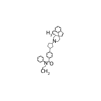 C=CCN(C(=O)c1ccc(C2CCC(N3CCC4(C=Cc5ccccc54)[C@@H](C)C3)C2)cc1)c1ccccc1